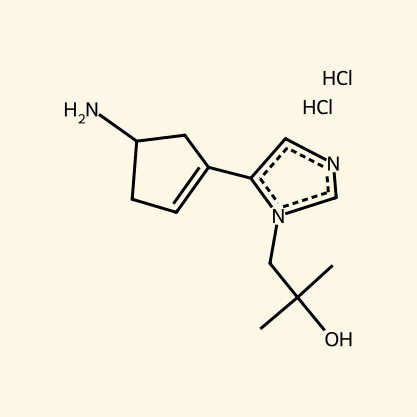 CC(C)(O)Cn1cncc1C1=CCC(N)C1.Cl.Cl